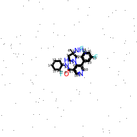 C[C@]1(N)CCN(c2c(C(=O)N[C@@H]3CCCC[C@H]3F)cncc2-c2cc(F)cc(F)c2)C1